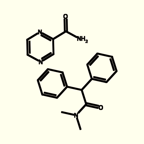 CN(C)C(=O)C(c1ccccc1)c1ccccc1.NC(=O)c1cnccn1